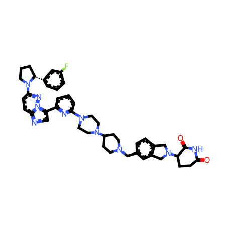 O=C1CCC(N2Cc3ccc(CN4CCC(N5CCN(c6cccc(-c7cnc8ccc(N9CCC[C@@H]9c9cccc(F)c9)nn78)n6)CC5)CC4)cc3C2)C(=O)N1